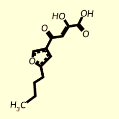 CCCCc1cc(C(=O)/C=C(\O)C(=O)O)co1